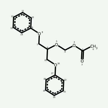 CC(=O)OCOC(COc1ccccc1)COc1ccccc1